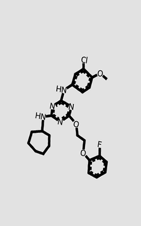 COc1ccc(Nc2nc(NC3CCCCCC3)nc(OCCOc3ccccc3F)n2)cc1Cl